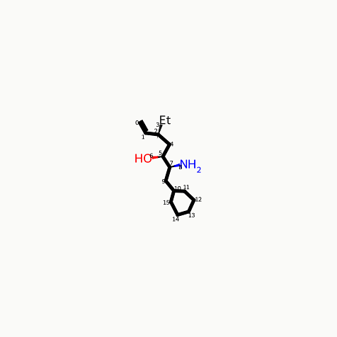 C=C[C@@H](CC)C[C@H](O)[C@@H](N)CC1CCCCC1